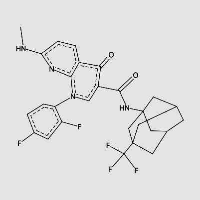 CNc1ccc2c(=O)c(C(=O)NC34CC5CC(C3)CC(C(F)(F)F)(C5)C4)cn(-c3ccc(F)cc3F)c2n1